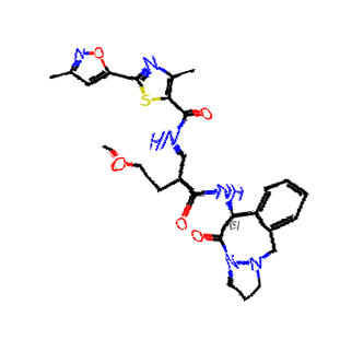 COCCC(CNC(=O)c1sc(-c2cc(C)no2)nc1C)C(=O)N[C@@H]1C(=O)N2CCCN2Cc2ccccc21